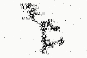 C=C1C[C@@H](CO[Si](C)(C)C(C)(C)C)N(C(=O)c2cc(OC)c(OCCCCCOc3cc(NC(=O)OCc4ccc(NC(=O)[C@H](CCCNC(N)=O)NC(=O)[C@@H](NC(=O)CCCCCN5C(=O)C=CC5=O)C(C)C)cc4)c(C(=O)N4CC(=C)C[C@H]4CO[Si](C)(C)C(C)(C)C)cc3OC)cc2NC(=O)O)C1